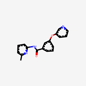 Cc1cccc(NC(=O)c2cccc(Oc3cccnc3)c2)n1